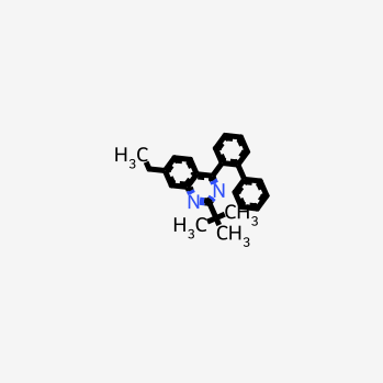 CCc1ccc2c(-c3ccccc3-c3ccccc3)nc(C(C)(C)C)nc2c1